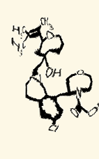 CC(C)(C)C1CC(O)(CN2CCc3cc(Cl)cc(C4COCCN4C(=O)O)c3C2)CCO1